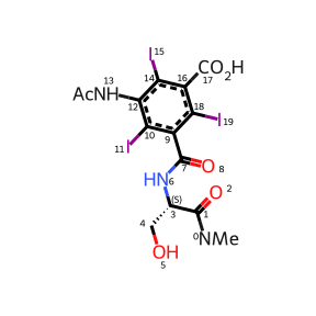 CNC(=O)[C@H](CO)NC(=O)c1c(I)c(NC(C)=O)c(I)c(C(=O)O)c1I